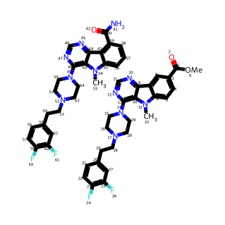 COC(=O)c1ccc2c(c1)c1ncnc(N3CCN(CCc4ccc(F)c(F)c4)CC3)c1n2C.Cn1c2cccc(C(N)=O)c2c2ncnc(N3CCN(CCc4ccc(F)c(F)c4)CC3)c21